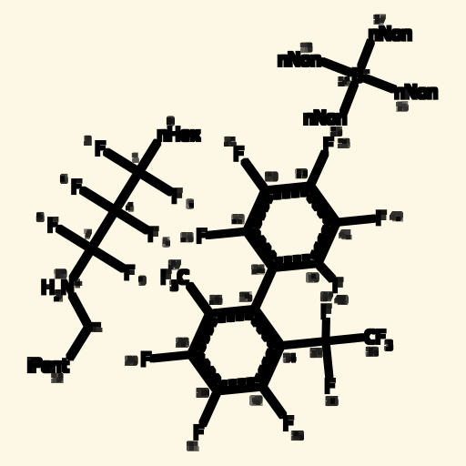 CCCCCCC(F)(F)C(F)(F)C(F)(F)[NH2+]CC(C)CCC.CCCCCCCCC[B-](CCCCCCCCC)(CCCCCCCCC)CCCCCCCCC.Fc1c(F)c(F)c(-c2c(C(F)(F)F)c(F)c(F)c(F)c2C(F)(F)C(F)(F)F)c(F)c1F